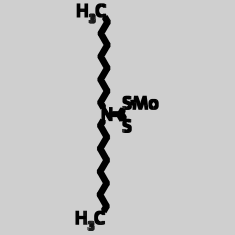 CCCCCCCCCN(CCCCCCCCC)C(=S)[S][Mo]